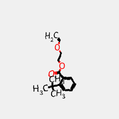 C=COCCOC(=O)c1ccccc1C(C)(C)C